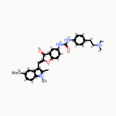 CCn1c(C)c(C=C2Oc3ccc(NC(=O)Nc4ccc(CCN(C)C)cc4)cc3C2=O)c2cc(OC)ccc21